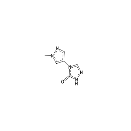 Cn1cc(-n2cn[nH]c2=O)cn1